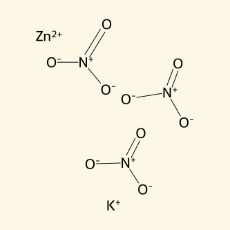 O=[N+]([O-])[O-].O=[N+]([O-])[O-].O=[N+]([O-])[O-].[K+].[Zn+2]